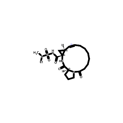 CCN(C)S(=O)(=O)NC(=O)[C@@]12C[C@H]1/C=C\CCCCCCC(=O)N1CCC[C@H]1C(=O)N2